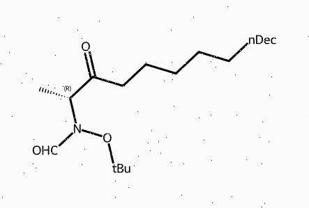 CCCCCCCCCCCCCCCC(=O)[C@@H](C)N(C=O)OC(C)(C)C